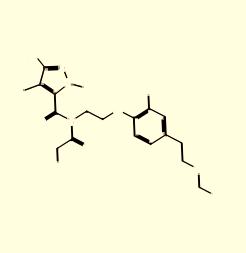 CCOCCc1ccc(OCCN(C(=O)CCl)C(=O)c2c(Cl)c(C)nn2C)c(C)c1